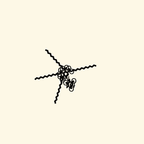 CCCCCCCCCCCCOC(=O)c1cc(NC=C2C(=O)N(C)C(=O)N(C)C2=O)c(C(=O)OCCCCCCCCCCCC)c(C(=O)OCCCCCCCCCCCC)c1C(=O)OCCCCCCCCCCCC